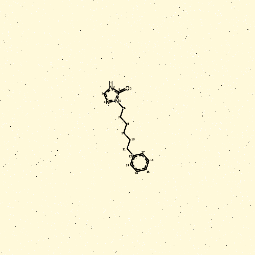 O=c1[nH]cnn1CCCCCCc1ccccc1